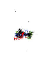 CC(C)(C)c1cc(-c2cccnc2F)c(N(CC(=O)O)C(=O)c2cccc(C(=O)Nc3cc(C(F)(F)F)cc(C(F)(F)F)c3)n2)c(C(C)(C)C)c1